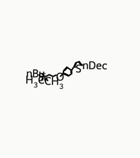 CCCCCCCCCCc1ccc(-c2ccc(OCCC[Si](C)(C)CCCC)cc2)s1